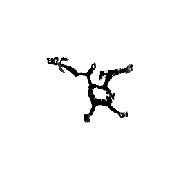 CCNc1nc(O)c(Br)cc1C(=O)CC(=O)OCC